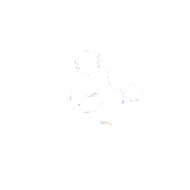 CC1(C(=O)O)C=CC=C(C(=O)O)C1.c1ccc(CCc2ncc[nH]2)cc1